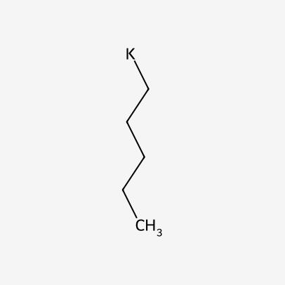 CCCC[CH2][K]